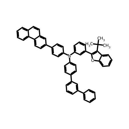 CC(C)(C)c1c(-c2cccc(N(c3ccc(-c4cccc(-c5ccccc5)c4)cc3)c3ccc(-c4ccc5c(ccc6ccccc65)c4)cc3)c2)oc2ccccc12